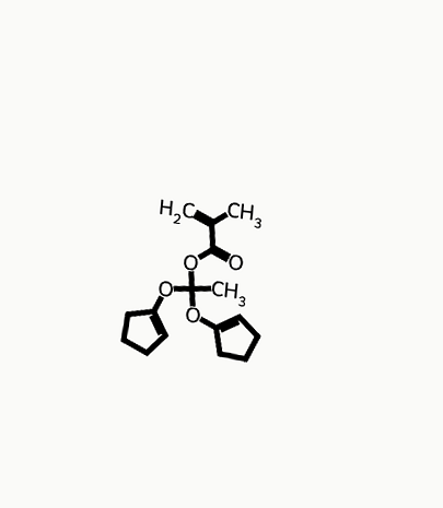 C=C(C)C(=O)OC(C)(OC1=CCCC1)OC1=CCCC1